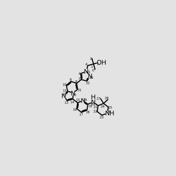 CC(C)(O)Cn1cc(-c2ccc3ncc(-c4cccc(NC5CCNCC5(C)C)n4)n3c2)cn1